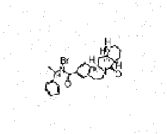 C[C@H](c1ccccc1)N(Br)C(=O)c1ccc2c(c1)CCN1C(=O)[C@H]3CCCN[C@H]3C[C@H]21